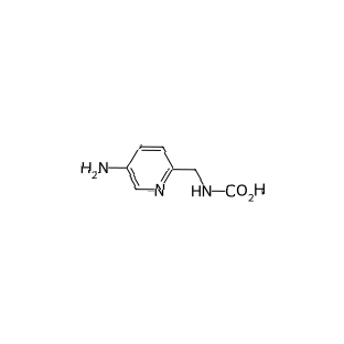 Nc1ccc(CNC(=O)O)nc1